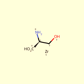 N[C@@H](CO)C(=O)O.[Zr]